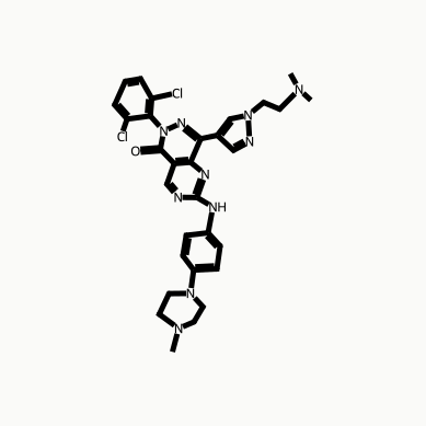 CN(C)CCn1cc(-c2nn(-c3c(Cl)cccc3Cl)c(=O)c3cnc(Nc4ccc(N5CCN(C)CC5)cc4)nc23)cn1